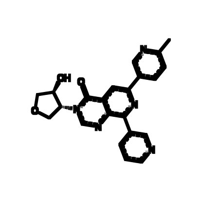 Cc1ccc(-c2cc3c(=O)n([C@@H]4COC[C@H]4O)cnc3c(-c3cccnc3)n2)cn1